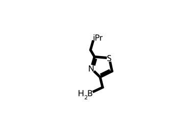 BCc1csc(CC(C)C)n1